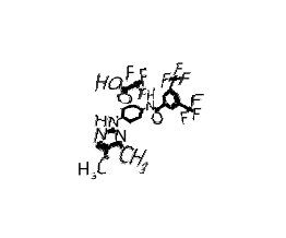 Cc1cnc(N[C@H]2CC[C@@H](NC(=O)c3cc(C(F)(F)F)cc(C(F)(F)F)c3)CC2)nc1C.O=C(O)C(F)(F)F